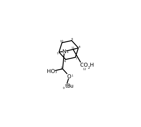 CC(C)(C)OC(O)N1C2CCC(CC2)C1C(=O)O